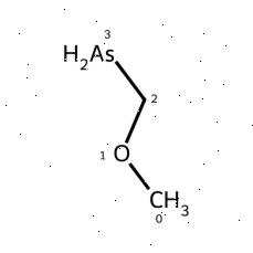 COC[AsH2]